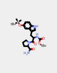 CC(C)(C)OC(=O)NC(Cc1c[nH]c2ccc(O[Si](C)(C)C(C)(C)C)cc12)C(=O)N1CCCC1C(N)=O